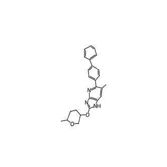 Cc1cc2[nH]c(OC3CCC(C)OC3)nc2nc1-c1ccc(-c2ccccc2)cc1